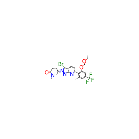 CCOCOc1cc(C(F)(F)F)cc(C)c1-c1ccc2c(Br)n([C@@H]3CCC(=O)N(C)C3)nc2n1